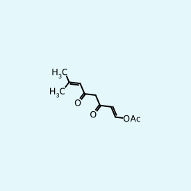 CC(=O)OC=CC(=O)CC(=O)C=C(C)C